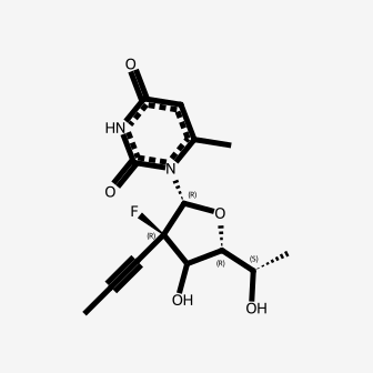 CC#C[C@@]1(F)C(O)[C@@H]([C@H](C)O)O[C@H]1n1c(C)cc(=O)[nH]c1=O